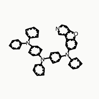 c1ccc(N(c2ccccc2)c2ccc(N(c3ccccc3)c3ccc(N(c4ccccc4)c4ccc5oc6ccncc6c5c4)cc3)cc2)cc1